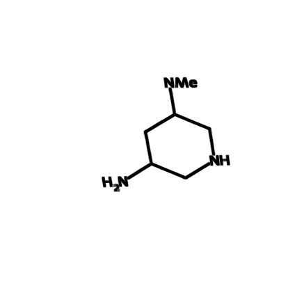 CNC1CNCC(N)C1